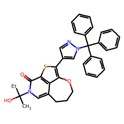 CCC(C)(O)n1cc2c3c(c(-c4cnn(C(c5ccccc5)(c5ccccc5)c5ccccc5)c4)sc3c1=O)OCCC2